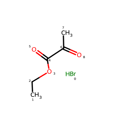 Br.CCOC(=O)C(C)=O